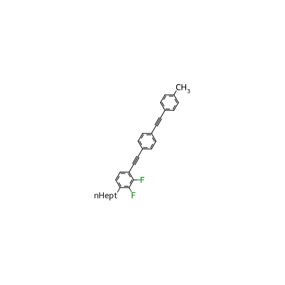 CCCCCCCc1ccc(C#Cc2ccc(C#Cc3ccc(C)cc3)cc2)c(F)c1F